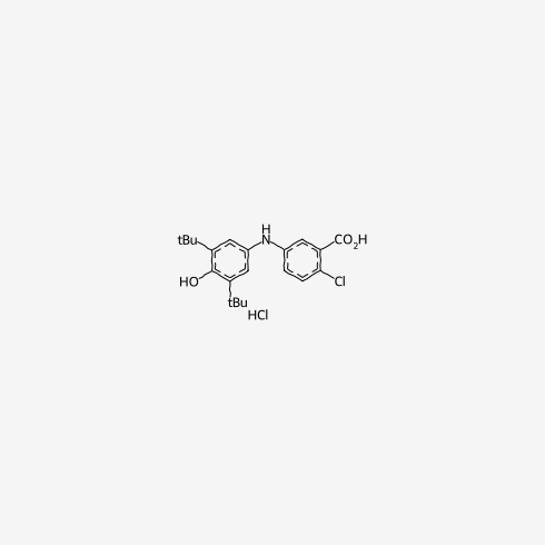 CC(C)(C)c1cc(Nc2ccc(Cl)c(C(=O)O)c2)cc(C(C)(C)C)c1O.Cl